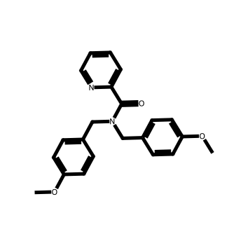 COc1ccc(CN(Cc2ccc(OC)cc2)C(=O)c2ccccn2)cc1